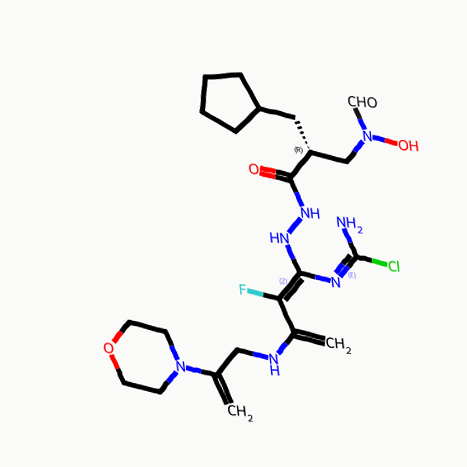 C=C(NCC(=C)N1CCOCC1)/C(F)=C(\N=C(/N)Cl)NNC(=O)[C@H](CC1CCCC1)CN(O)C=O